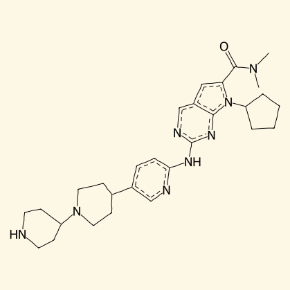 CN(C)C(=O)c1cc2cnc(Nc3ccc(C4CCN(C5CCNCC5)CC4)cn3)nc2n1C1CCCC1